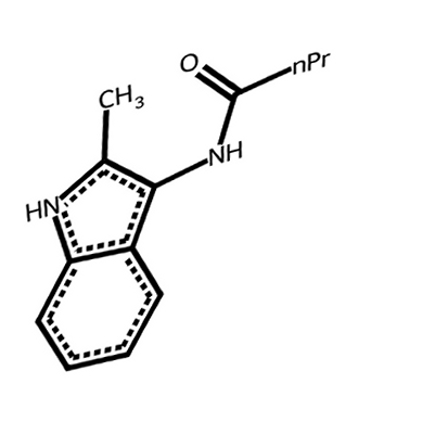 CCCC(=O)Nc1c(C)[nH]c2ccccc12